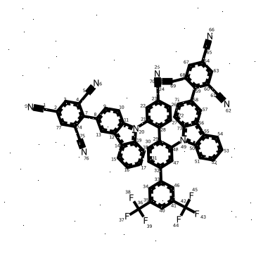 N#Cc1cc(C#N)c(-c2ccc3c(c2)c2ccccc2n3-c2cc(C#N)ccc2-c2ccc(-c3cc(C(F)(F)F)cc(C(F)(F)F)c3)cc2-n2c3ccccc3c3cc(-c4c(C#N)cc(C#N)cc4C#N)ccc32)c(C#N)c1